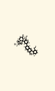 CCc1ccccc1-c1cc2cc(-c3cnc(OC)c(C4(F)C=C(F)C=CC4S(N)(=O)=O)c3)ccc2nc1N